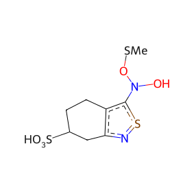 CSON(O)c1snc2c1CCC(S(=O)(=O)O)C2